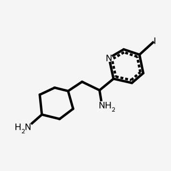 NC1CCC(CC(N)c2ccc(I)cn2)CC1